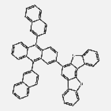 c1ccc2cc(-c3c4ccccc4c(-c4ccc5ccccc5c4)c4cc(-c5cc6c7ccccc7oc6c6c5oc5ccccc56)ccc34)ccc2c1